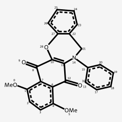 COc1ccc(OC)c2c1C(=O)C1=C(C2=O)N(c2ccccc2)Cc2ccccc2O1